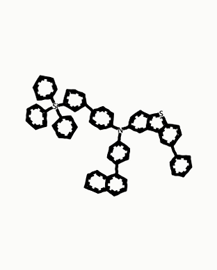 c1ccc(-c2ccc3sc4ccc(N(c5ccc(-c6cccc([Si](c7ccccc7)(c7ccccc7)c7ccccc7)c6)cc5)c5ccc(-c6cccc7ccccc67)cc5)cc4c3c2)cc1